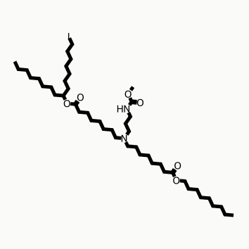 CCCCCCCCCOC(=O)CCCCCCCN(CCCCCCCC(=O)OC(CCCCCCCC)CCCCCCCI)CCCNC(=O)OC